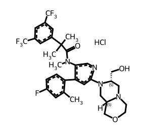 Cc1cc(F)ccc1-c1cc(N2C[C@H]3COCCN3C[C@H]2CO)ncc1N(C)C(=O)C(C)(C)c1cc(C(F)(F)F)cc(C(F)(F)F)c1.Cl